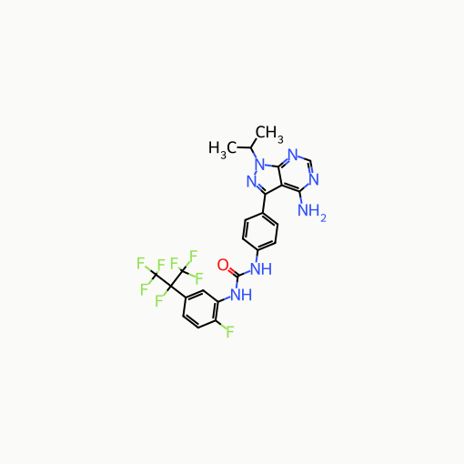 CC(C)n1nc(-c2ccc(NC(=O)Nc3cc(C(F)(C(F)(F)F)C(F)(F)F)ccc3F)cc2)c2c(N)ncnc21